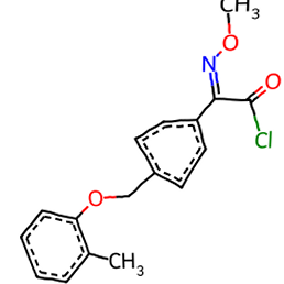 CON=C(C(=O)Cl)c1ccc(COc2ccccc2C)cc1